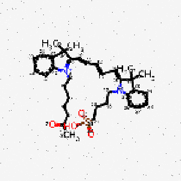 CC(=O)CCCCC[N+]1=C(/C=C/C=C/C=C2\N(CCCCS(=O)(=O)O)c3ccccc3C2(C)C)C(C)(C)c2ccccc21